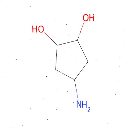 NC1CC(O)C(O)C1